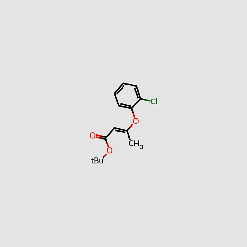 CC(=CC(=O)OC(C)(C)C)Oc1ccccc1Cl